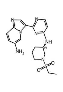 CCS(=O)(=O)N1CCC[C@@H](Nc2ccnc(-c3cnc4ccc(N)cn34)n2)C1